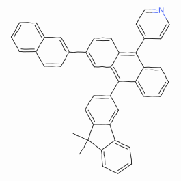 CC1(C)c2ccccc2-c2cc(-c3c4ccccc4c(-c4ccncc4)c4ccc(-c5ccc6ccccc6c5)cc34)ccc21